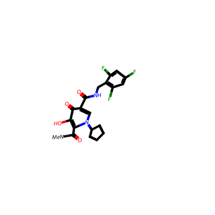 CNC(=O)c1c(O)c(=O)c(C(=O)NCc2c(F)cc(F)cc2F)cn1C1CCCC1